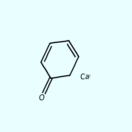 O=C1C=CC=CC1.[Ca]